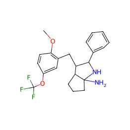 COc1ccc(OC(F)(F)F)cc1CC1C(c2ccccc2)NC2(N)CCCC12